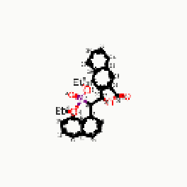 CCOP(=O)(OCC)C(c1cccc2ccccc12)C1OC(=O)c2cc3ccccc3cc21